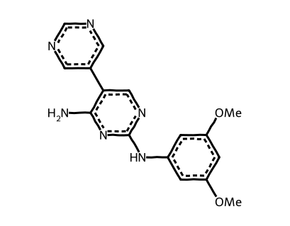 COc1cc(Nc2ncc(-c3cncnc3)c(N)n2)cc(OC)c1